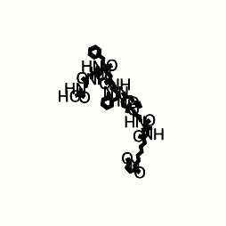 CCOCc1nc2c(NC(=O)CNC(=O)C(Cc3ccccc3)NC(=O)CNC(=O)CNC(=O)O)nc3ccccc3c2n1CC(C)(C)OCCNC(=O)C(C)(C)NC(=O)CCCCCN1C(=O)C=CC1=O